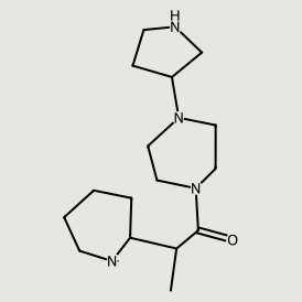 CC(C(=O)N1CCN(C2CCNC2)CC1)C1CCCC[N]1